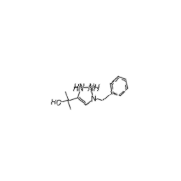 CC(C)(O)C1=CN(Cc2ccccc2)NN1